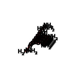 NCCN(CCN)CCCCCOCCOCCOCC(COCC(COCC(COCC(COCCOCCOCCNCCN(CCN)CCN)OCCOCCOCCNCCN(CCN)CCN)OCCOCCOCCNCCN(CCN)CCN)OCCOCCOCCNCCN(CCN)CCN)OCCOCCOCCNCCN(CCN)CCN